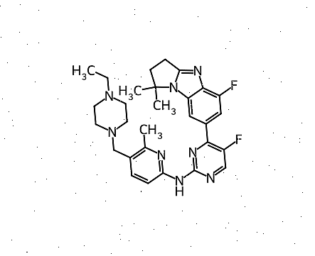 CCN1CCN(Cc2ccc(Nc3ncc(F)c(-c4cc(F)c5nc6n(c5c4)C(C)(C)CC6)n3)nc2C)CC1